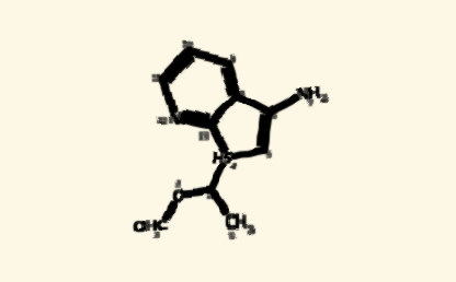 CC(OC=O)[SH]1C=C(N)c2cccnc21